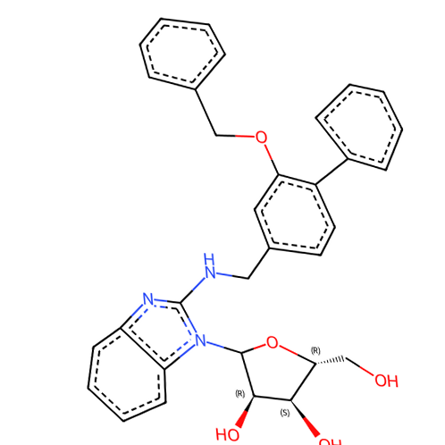 OC[C@H]1OC(n2c(NCc3ccc(-c4ccccc4)c(OCc4ccccc4)c3)nc3ccccc32)[C@H](O)[C@@H]1O